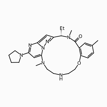 CC[C@H]1c2cc3nc(N4CCCC4)cc(n3n2)N(C)CCNCCOc2ccc(C)cc2C(=O)N1C